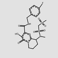 CN(C1CCCn2c1nc(C(=O)NCc1ccc(F)cc1)c(O)c2=O)S(=O)(=O)CS(C)(=O)=O